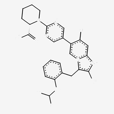 Cc1cc2nc(C)c(Cc3ccccc3OC(F)F)n2cc1-c1cnc(N2CCCC[C@H]2C(=O)O)nc1